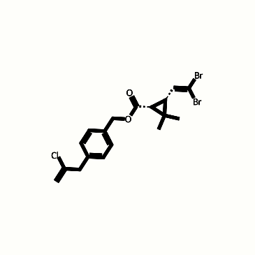 C=C(Cl)Cc1ccc(COC(=O)[C@@H]2[C@H](C=C(Br)Br)C2(C)C)cc1